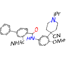 COc1ccc(NC(=O)c2ccc(-c3ccccc3)cc2NC(C)=O)cc1C1(C#N)CCN(C(C)C)CC1